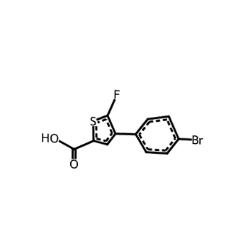 O=C(O)c1cc(-c2ccc(Br)cc2)c(F)s1